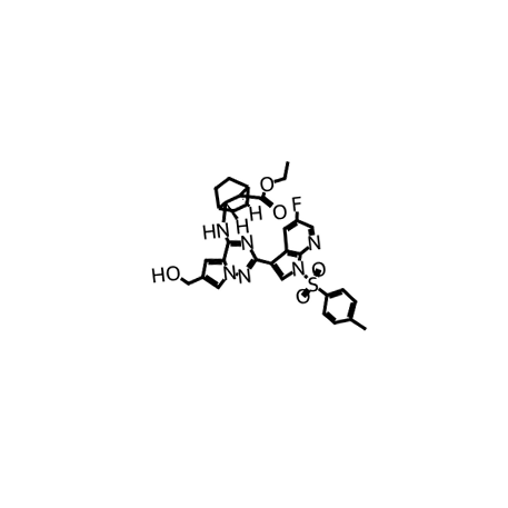 CCOC(=O)[C@@H]1C2CCC(CC2)[C@H]1Nc1nc(-c2cn(S(=O)(=O)c3ccc(C)cc3)c3ncc(F)cc23)nn2cc(CO)cc12